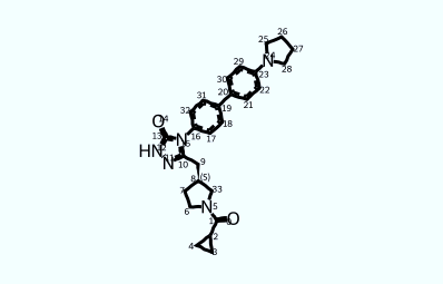 O=C(C1CC1)N1CC[C@@H](Cc2n[nH]c(=O)n2-c2ccc(-c3ccc(N4CCCC4)cc3)cc2)C1